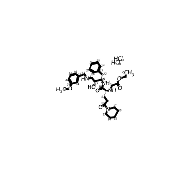 CCOC(=O)CN[C@H](CCC(=O)N1CCCCC1)C(=O)N[C@@H](Cc1ccccc1)[C@H](O)CNCc1cccc(OC)c1.Cl.Cl